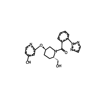 N#Cc1ccnc(O[C@@H]2CC[C@@H](CO)N(C(=O)c3ccccc3-n3nccn3)C2)c1